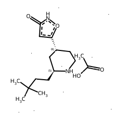 CC(=O)O.CC(C)(C)CC[C@H]1C[C@H](c2cc(=O)[nH]o2)CCN1